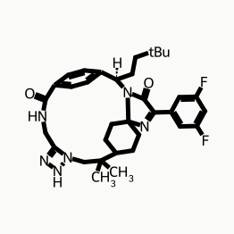 CC(C)(C)CC[C@@H]1c2ccc(cc2)C(=O)NCc2n[nH]n2CC(C)(C)C2CCC3(CC2)N=C(c2cc(F)cc(F)c2)C(=O)N13